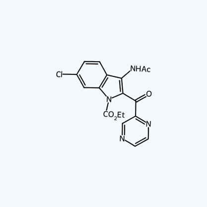 CCOC(=O)n1c(C(=O)c2cnccn2)c(NC(C)=O)c2ccc(Cl)cc21